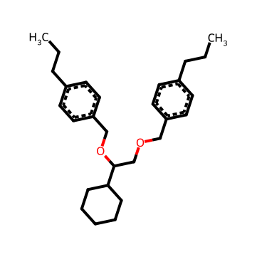 CCCc1ccc(COCC(OCc2ccc(CCC)cc2)C2CCCCC2)cc1